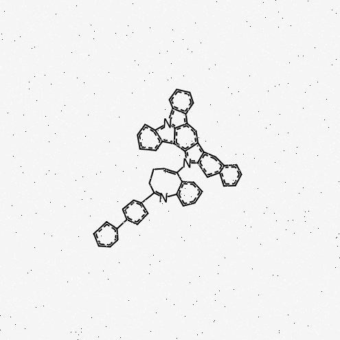 C1=C(/n2c3cc4ccccc4cc3c3cc4c5ccccc5n5c6ccccc6c(c32)c45)c2ccccc2/N=C(/c2ccc(-c3ccccc3)cc2)CC/1